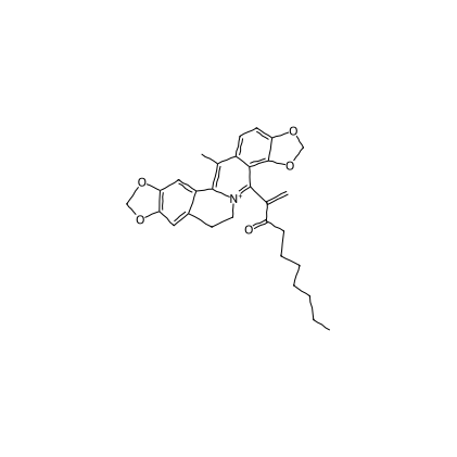 C=C(C(=O)CCCCCCC)c1c2c3c(ccc2c(C)c2[n+]1CCc1cc4c(cc1-2)OCO4)OCO3